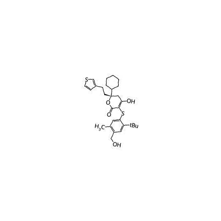 Cc1cc(SC2=C(O)C[C@@](CCc3ccsc3)(C3CCCCC3)OC2=O)c(C(C)(C)C)cc1CO